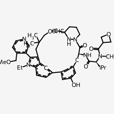 CCn1c(-c2cnccc2COC)c2c3cc(ccc31)-c1cc(O)cc(c1)C[C@H](NC(=O)[C@H](C(C)C)N(C)C(=O)C1COC1)C(=O)N1CCC[C@](C=O)(COCC(C)(C)C2)N1